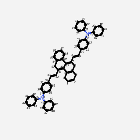 C1=CCC2=C(C1)CC(C=Cc1ccc(N(c3ccccc3)c3ccccc3)cc1)=C1C2=C(C=Cc2ccc(N(c3ccccc3)c3ccccc3)cc2)Cc2ccccc21